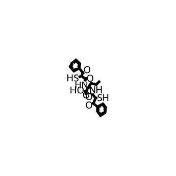 CCCC(NC(=O)C(S)C(=O)c1ccccc1)(NC(=O)C(S)C(=O)c1ccccc1)C(=O)O